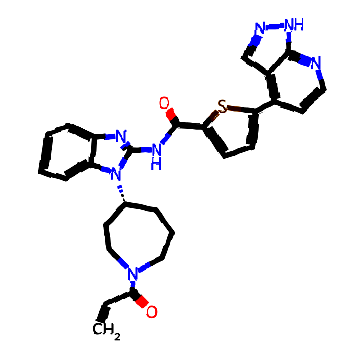 C=CC(=O)N1CCC[C@@H](n2c(NC(=O)c3ccc(-c4ccnc5[nH]ncc45)s3)nc3ccccc32)CC1